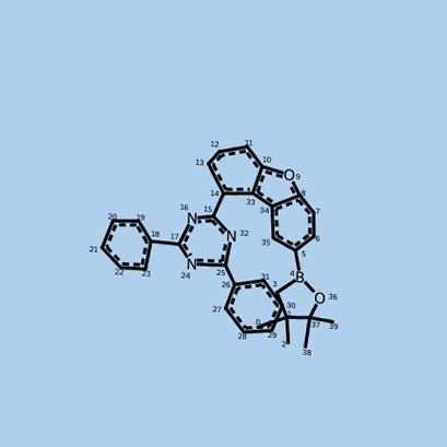 CC1(C)CB(c2ccc3oc4cccc(-c5nc(-c6ccccc6)nc(-c6ccccc6)n5)c4c3c2)OC1(C)C